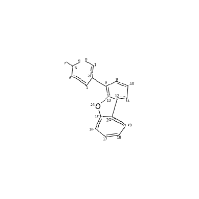 C/C=C(\C=C/C(C)C)c1cccc2c1oc1ccccc12